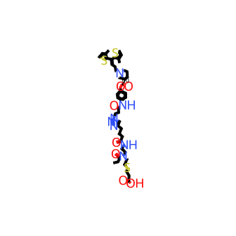 CCC(=O)N(CCNC(=O)CCCc1cn(CCC(=O)Nc2ccc(OC(=O)[C@@H]3CCCN(CCC=C(c4sccc4C)c4sccc4C)C3)cc2)nn1)CCSCCC(=O)O